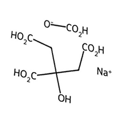 O=C(O)CC(O)(CC(=O)O)C(=O)O.O=C([O-])O.[Na+]